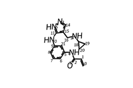 C=CC(=O)Nc1cccc(Nc2[nH]ncc2CNC2CC2)c1